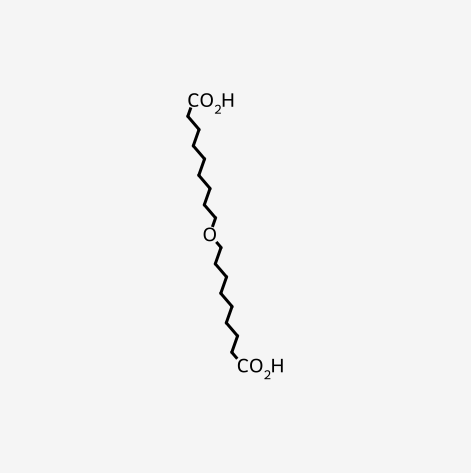 O=C(O)CCCCCCCCOCCCCCCCCC(=O)O